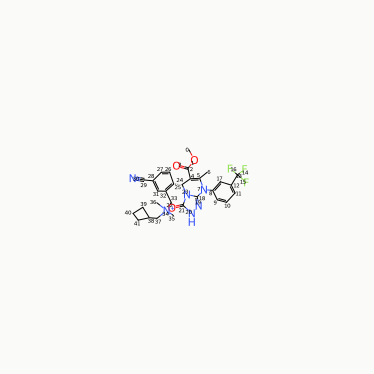 COC(=O)C1=C(C)N(c2cccc(C(F)(F)F)c2)c2n[nH]c(=O)n2[C@@H]1c1ccc(C#N)cc1C[N+](C)(C)CC1CCC1